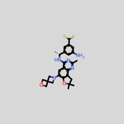 Cc1nc(N[C@H](C)c2cc(N)cc(C(F)F)c2)c2cc(N3CC4(COC4)C3)c3c(c2n1)CC(C)(C)O3